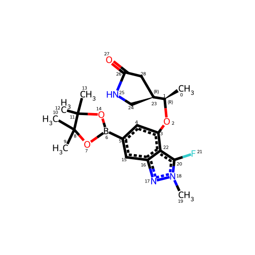 C[C@@H](Oc1cc(B2OC(C)(C)C(C)(C)O2)cc2nn(C)c(F)c12)[C@H]1CNC(=O)C1